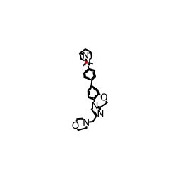 CC(C)N1C2CC1CN(c1ccc(-c3ccc4c(c3)OCc3nc(CN5CCOCC5)cn3-4)cc1)C2